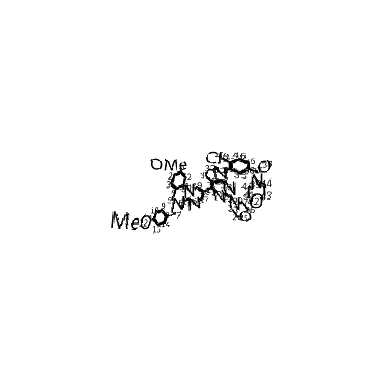 COc1ccc(CN(Cc2ccc(OC)cc2)c2ncc(-c3nc(N4CCOCC4)nc4c3CCN4c3cc(C(=O)N4CCOCC4)ccc3Cl)cn2)cc1